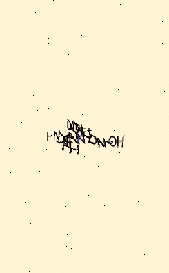 CCC(/N=C(/NCC1CNCCC1(F)F)c1nccnc1C)c1ccc(N(C)CCO)cc1